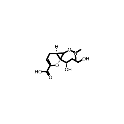 CN(C)OC1[C@@H]2CC=C(C(=O)O)O[C@@]12[C@H](O)CCO